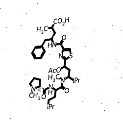 CC(=O)OC(CC(C(C)C)N(C)C(=O)C(CCC(C)C)NC(=O)[C@H]1CCCN1C)c1nc(C(=O)NC(Cc2ccccc2)CC(C)C(=O)O)cs1